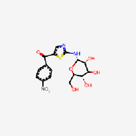 O=C(c1ccc([N+](=O)[O-])cc1)c1cnc(N[C@H]2OC(CO)[C@@H](O)C(O)[C@H]2O)s1